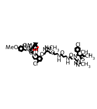 COc1ccc(COC(=O)[C@@]2(C)CCCC[C@H]2C(=O)N2CCc3c(Cl)ccc(OCc4nnn(C)c4COCCNC(=O)CCNC(=O)C[C@@H]4N=C(c5ccc(Cl)cc5)c5c(sc(C)c5C)-n5c(C)nnc54)c3[C@H]2CN2CC3(CC3)CC2=O)c(OC)c1